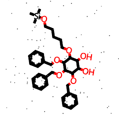 C[Si](C)(C)OCCCCCOC1C(O)C(O)C(OCc2ccccc2)C(OCc2ccccc2)C1OCc1ccccc1